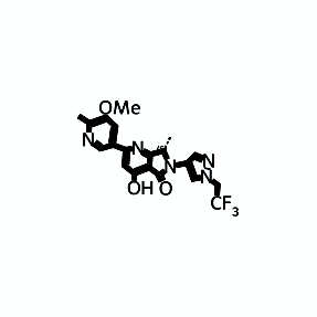 COc1cc(-c2cc(O)c3c(n2)[C@H](C)N(c2cnn(CC(F)(F)F)c2)C3=O)cnc1C